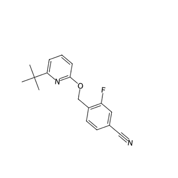 CC(C)(C)c1cccc(OCc2ccc(C#N)cc2F)n1